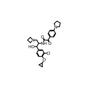 O=C(NC(CN1CCC1)C(O)c1ccc(OC2CC2)c(Cl)c1)C(=O)c1ccc(N2CCCC2)cc1